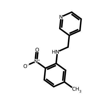 Cc1ccc([N+](=O)[O-])c(NCc2cccnc2)c1